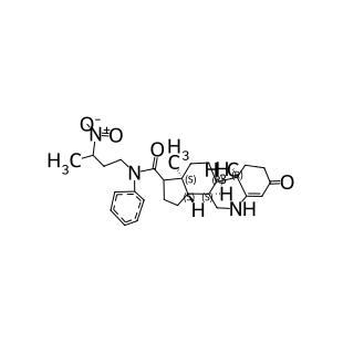 CC(CCN(C(=O)C1CC[C@H]2[C@@H]3CNC4=CC(=O)CC[C@]4(C)[C@@H]3CC[C@]12C)c1ccccc1)[N+](=O)[O-]